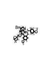 COc1ccc(CN(Cc2ccc(OC)cc2)c2nc(OCC3CCCO3)nn3c(Br)cnc23)cc1